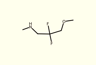 CNCC(F)(F)COC